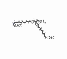 CCCCCCCC/C=C\CCCCCCCCOCC(CN)OCCCCCCCCCCCCCCCCCC